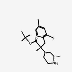 Cc1ccc(C[C@@](C)(C(=O)OC(C)(C)C)N2CCN[C@@H](C)C2)c(F)c1